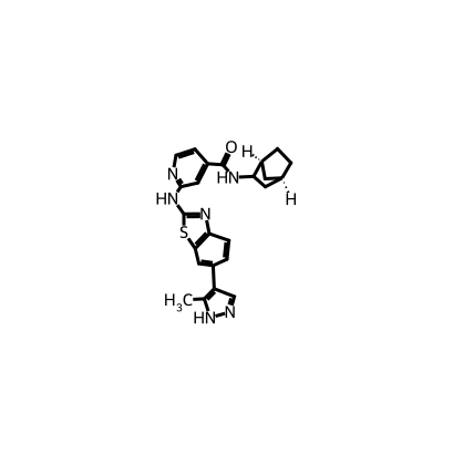 Cc1[nH]ncc1-c1ccc2nc(Nc3cc(C(=O)NC4C[C@@H]5CC[C@H]4C5)ccn3)sc2c1